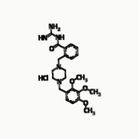 COc1ccc(CN2CCN(Cc3ccccc3C(=O)NC(=N)N)CC2)c(OC)c1OC.Cl